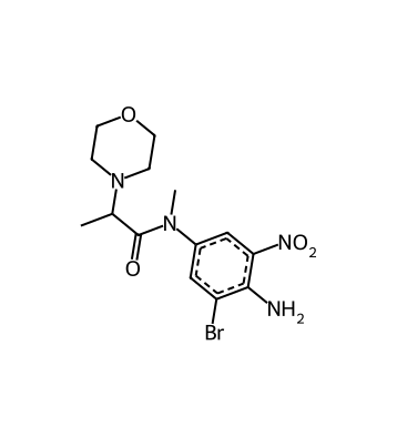 CC(C(=O)N(C)c1cc(Br)c(N)c([N+](=O)[O-])c1)N1CCOCC1